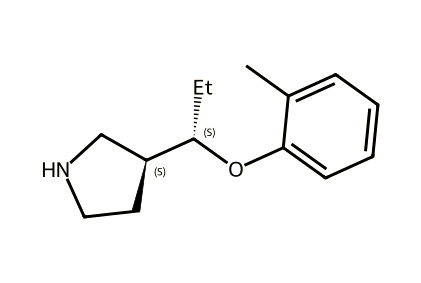 CC[C@H](Oc1ccccc1C)[C@H]1CCNC1